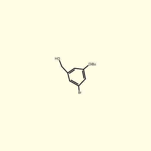 CC(C)COc1cc(Br)cc([CH]O)c1